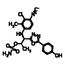 [C-]#[N+]c1ccc(N[C@@H](c2nnc(-c3ccc(O)cc3)o2)[C@H](C)OS(N)(=O)=O)c(C)c1Cl